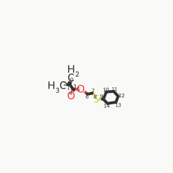 C=C(C)C(=O)OCCSC1CCCCC1